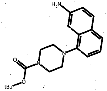 CC(C)(C)OC(=O)N1CCN(c2cccc3ccc(N)cc23)CC1